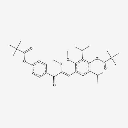 COC(=Cc1cc(C(C)C)c(OC(=O)C(C)(C)C)c(C(C)C)c1OC)C(=O)c1ccc(OC(=O)C(C)(C)C)cc1